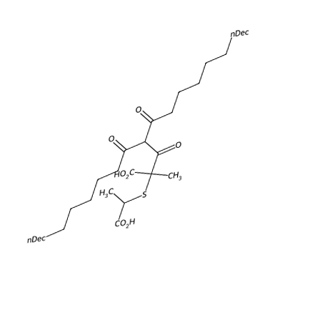 CCCCCCCCCCCCCCCC(=O)C(C(=O)CCCCCCCCCCCCCCC)C(=O)C(C)(SC(C)C(=O)O)C(=O)O